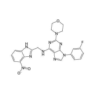 O=[N+]([O-])c1cccc2[nH]c(CNc3nc(N4CCOCC4)nc4c3ncn4-c3cccc(F)c3)nc12